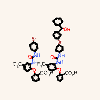 O=C(Nc1ccc(Br)cc1)Nc1cc(C(F)(F)F)ccc1Oc1ccccc1C(=O)O.O=C(Nc1ccc(Br)cc1)Nc1cc(C(F)(F)F)ccc1Oc1ccccc1C(=O)O.OC(c1ccccc1)c1ccccc1